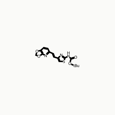 CC(C)(C)OC(=O)Nc1nc(C=Cc2ccc3c(n2)OCO3)cs1